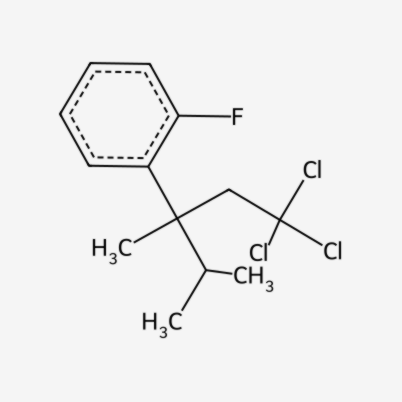 CC(C)C(C)(CC(Cl)(Cl)Cl)c1ccccc1F